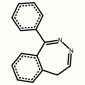 C1=NN=C(c2ccccc2)c2ccccc2C1